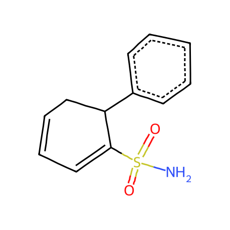 NS(=O)(=O)C1=CC=CCC1c1ccccc1